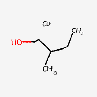 CCC(C)CO.[Cu]